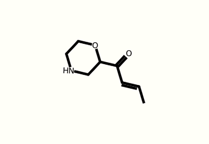 CC=CC(=O)C1CNCCO1